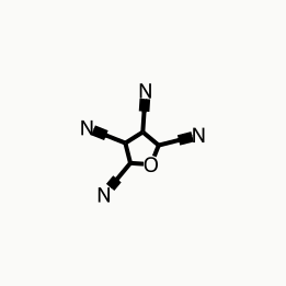 N#CC1OC(C#N)C(C#N)C1C#N